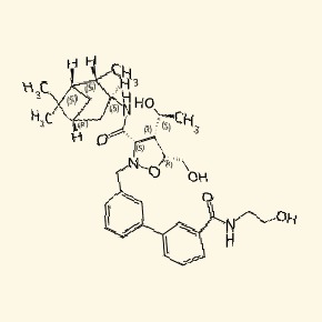 C[C@@H]1[C@@H](NC(=O)[C@@H]2[C@H]([C@H](C)O)[C@H](CO)ON2Cc2cccc(-c3cccc(C(=O)NCCO)c3)c2)C[C@H]2C[C@@H]1C2(C)C